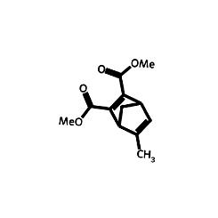 COC(=O)C1=C(C(=O)OC)C2CC1C=C2C